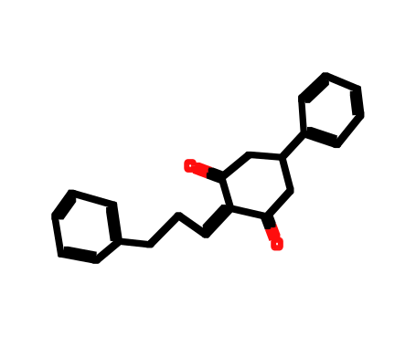 O=C1CC(c2ccccc2)CC(=O)C1=CCCc1ccccc1